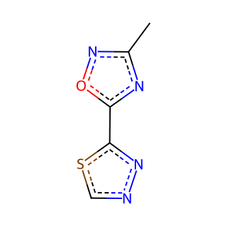 Cc1noc(-c2nncs2)n1